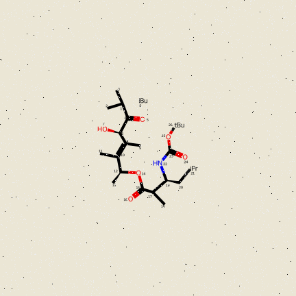 CC[C@H](C)C(C)(C)C(=O)[C@H](O)/C(C)=C(\C)[C@H](C)OC(=O)C(C)[C@H](CC(C)C)NC(=O)OC(C)(C)C